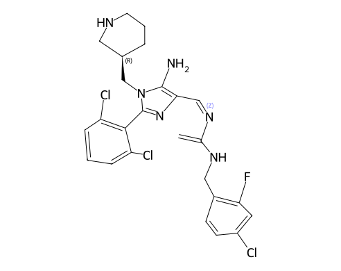 C=C(/N=C\c1nc(-c2c(Cl)cccc2Cl)n(C[C@@H]2CCCNC2)c1N)NCc1ccc(Cl)cc1F